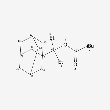 CCC(C)C(=O)OC(CC)(CC)C12CC3CC(CC(C3)C1)C2